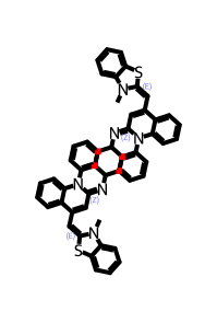 CN1/C(=C\c2c/c(=N/C3CCC(/N=c4/cc(/C=C5/Sc6ccccc6N5C)c5ccccc5n4-c4ccccc4)CC3)n(-c3ccccc3)c3ccccc23)Sc2ccccc21